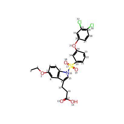 CCOc1ccc2c(c1)c(CCC(=O)O)cn2S(=O)(=O)c1cccc(Oc2ccc(Cl)c(Cl)c2)c1